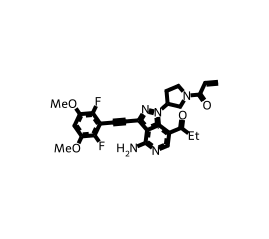 C=CC(=O)N1CCC(n2nc(C#Cc3c(F)c(OC)cc(OC)c3F)c3c(N)ncc(C(=O)CC)c32)C1